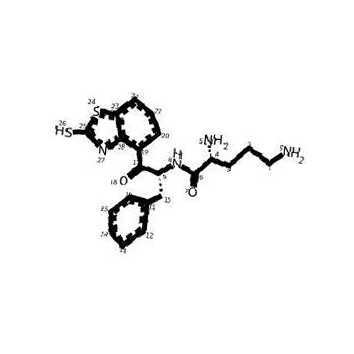 NCCC[C@@H](N)C(=O)N[C@H](Cc1ccccc1)C(=O)c1cccc2sc(S)nc12